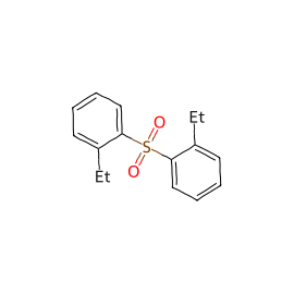 CCc1ccccc1S(=O)(=O)c1ccccc1CC